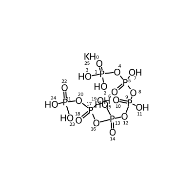 O=P(O)(O)OP(=O)(O)OP(=O)(O)OP(=O)(O)OP(=O)(O)OP(=O)(O)O.[KH]